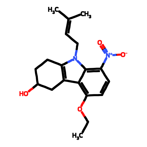 CCOc1ccc([N+](=O)[O-])c2c1c1c(n2CC=C(C)C)CCC(O)C1